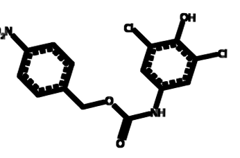 O=C(Nc1cc(Cl)c(O)c(Cl)c1)OCc1ccc([N+](=O)[O-])cc1